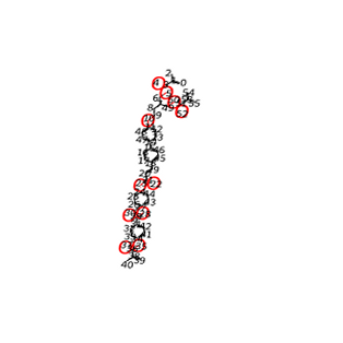 C=C(C)C(=O)OCC(CCOc1ccc(-c2ccc(/C=C/C(=O)O[C@H]3CC[C@@H](OC(=O)c4ccc(OC(=O)C(=C)C)cc4)CC3)cc2)cc1)COC(=O)C(=C)C